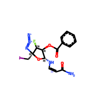 [N-]=[N+]=N[C@]1(CI)O[C@@H](N/C=C\C(N)=O)[C@H](OC(=O)c2ccccc2)[C@@H]1F